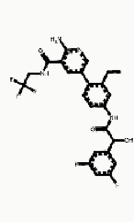 CCc1cc(NC(=O)C(O)c2cc(F)cc(F)c2)ccc1-c1cnc(N)c(C(=O)NCC(F)(F)F)c1